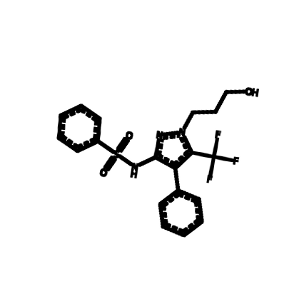 O=S(=O)(Nc1nn(CCCO)c(C(F)(F)F)c1-c1ccccc1)c1ccccc1